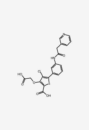 O=C(O)COc1c(C(=O)O)sc(-c2cccc(NC(=O)Cc3cccnc3)c2)c1Cl